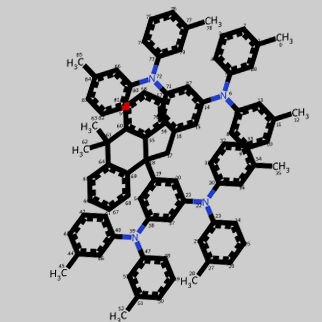 Cc1cccc(N(c2cccc(C)c2)c2cc(CC3(c4cc(N(c5cccc(C)c5)c5cccc(C)c5)cc(N(c5cccc(C)c5)c5cccc(C)c5)c4)c4ccccc4C(C)(C)c4ccccc43)cc(N(c3cccc(C)c3)c3cccc(C)c3)c2)c1